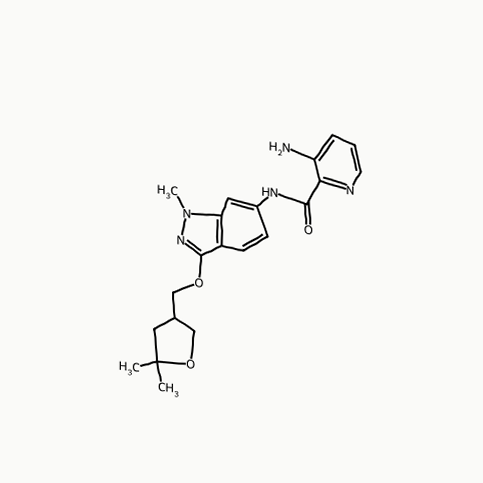 Cn1nc(OCC2COC(C)(C)C2)c2ccc(NC(=O)c3ncccc3N)cc21